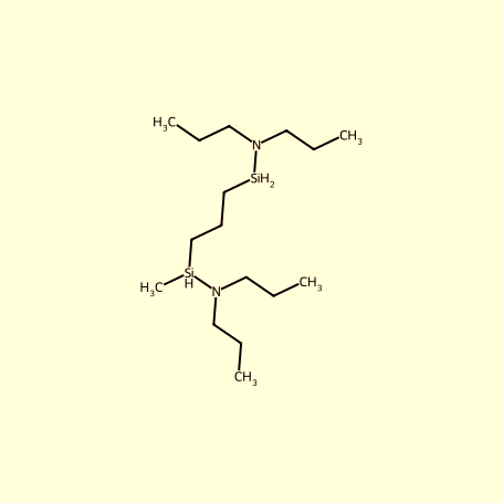 CCCN(CCC)[SiH2]CCC[SiH](C)N(CCC)CCC